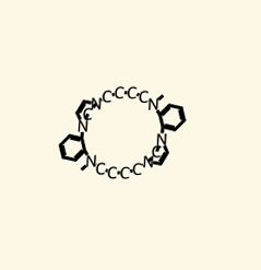 CN1CCCCN2C=CN(C2)c2ccccc2N(C)CCCCN2C=CN(C2)c2ccccc21